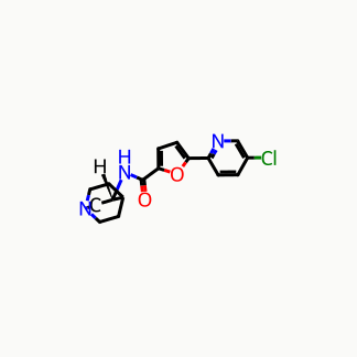 O=C(N[C@H]1CN2CCC1CC2)c1ccc(-c2ccc(Cl)cn2)o1